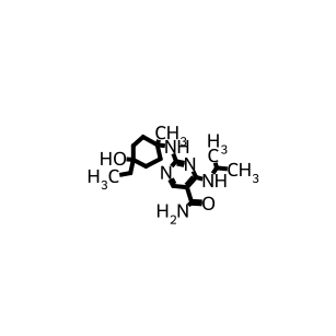 CCC1(O)CCC(C)(Nc2ncc(C(N)=O)c(NC(C)C)n2)CC1